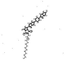 CCCCCCCCCCCOCCN1C(=O)c2c(C)sc(-c3cc4sc(-c5ccc(-c6cc7sc(C)cc7s6)cc5)cc4s3)c2C1=O